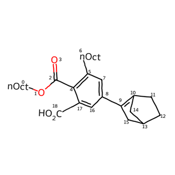 CCCCCCCCOC(=O)c1c(CCCCCCCC)cc(C2=C3CCC(C3)C2)cc1C(=O)O